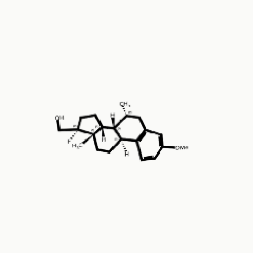 COc1ccc2c(c1)C[C@@H](C)[C@@H]1[C@@H]2CC[C@@]2(C)[C@@H]1CC[C@]2(F)CO